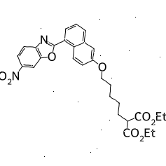 CCOC(=O)C(CCCCCOc1ccc2c(-c3nc4ccc([N+](=O)[O-])cc4o3)cccc2c1)C(=O)OCC